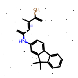 C=C(/C=C(\C)C(=C)S)Nc1ccc2c(c1)C(C)(C)c1ccccc1-2